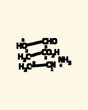 CC#N.CC(=O)O.N.O=CO